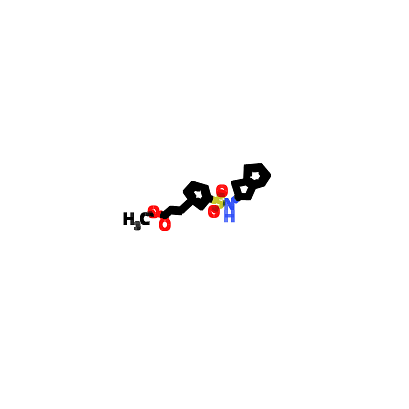 COC(=O)C=Cc1cccc(S(=O)(=O)NC2Cc3ccccc3C2)c1